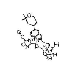 [2H]C([2H])([2H])OC[C@H]1C[C@]1(C1=NOC(=C=O)N1)n1c(C(=O)O)cc2cc([C@H]3CCOC(C)(C)C3)ccc21